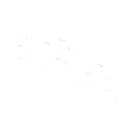 C=C(CCC1(CCC)Cc2cc(F)ccc2[C@H]1N)c1nc(N)c(C(=N)C2CCCCC3=C2C=CC(C)CC3=O)nc1C